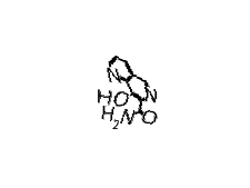 NC(=O)c1ncc2cccnc2c1O